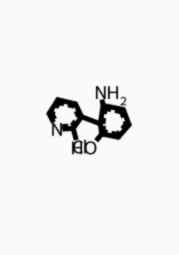 Nc1cccc(O)c1-c1cccnc1Cl